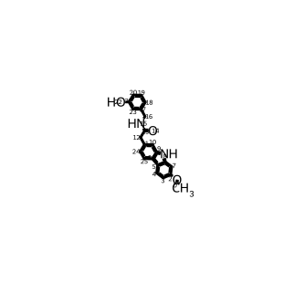 COc1ccc2c(c1)[nH]c1cc(CC(=O)NCc3cccc(O)c3)ccc12